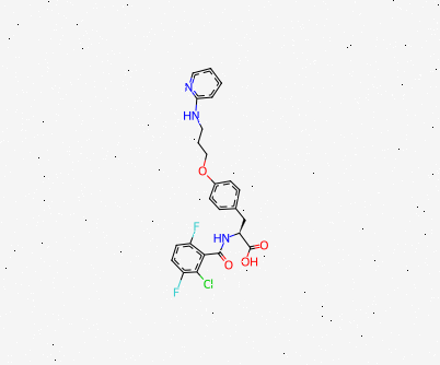 O=C(N[C@@H](Cc1ccc(OCCCNc2ccccn2)cc1)C(=O)O)c1c(F)ccc(F)c1Cl